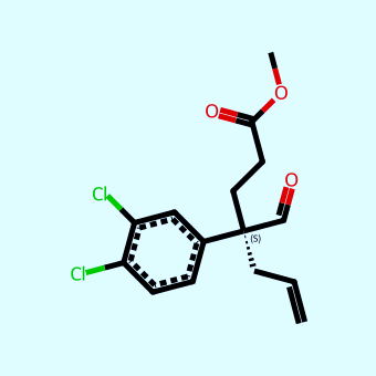 C=CC[C@@](C=O)(CCC(=O)OC)c1ccc(Cl)c(Cl)c1